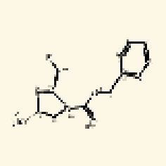 O=C(OCc1ccccc1)N1C[C@H](O)C[C@H]1CF